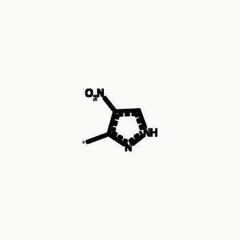 [CH2]c1n[nH]cc1[N+](=O)[O-]